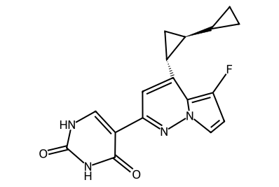 O=c1[nH]cc(-c2cc([C@@H]3C[C@H]3C3CC3)c3c(F)ccn3n2)c(=O)[nH]1